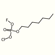 CCCCCCCOP(=O)(OF)OCl